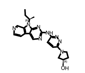 CC[C@@H](C)n1c2cnccc2c2cnc(Nc3ccc(N4CC[C@@H](O)C4)nn3)nc21